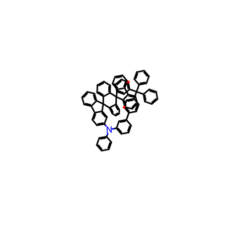 c1ccc(N(c2cccc(-c3ccc(C(c4ccccc4)(c4ccccc4)c4ccccc4)cc3)c2)c2ccc3c(c2)C2(c4ccccc4-3)c3ccccc3C3(c4ccccc4-c4ccccc43)c3ccccc32)cc1